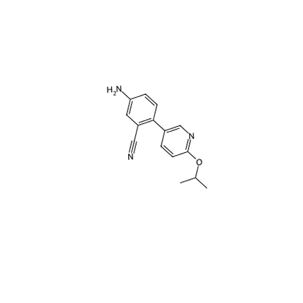 CC(C)Oc1ccc(-c2ccc(N)cc2C#N)cn1